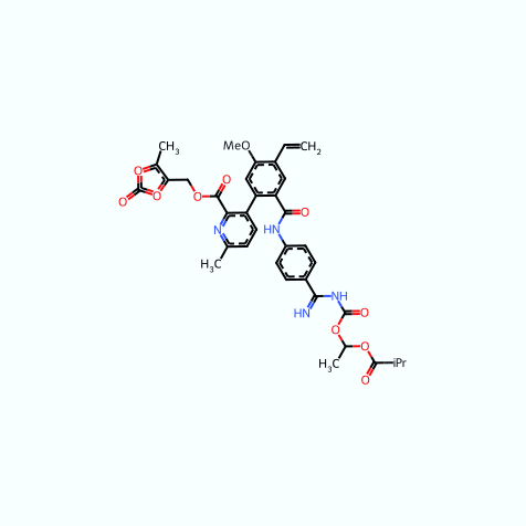 C=Cc1cc(C(=O)Nc2ccc(C(=N)NC(=O)OC(C)OC(=O)C(C)C)cc2)c(-c2ccc(C)nc2C(=O)OCc2oc(=O)oc2C)cc1OC